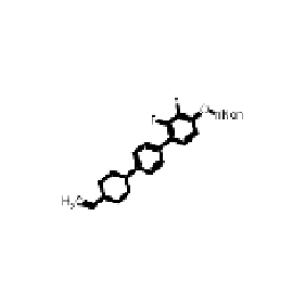 C=CC1CCC(c2ccc(-c3ccc(OCCCCCCCCC)c(F)c3F)cc2)CC1